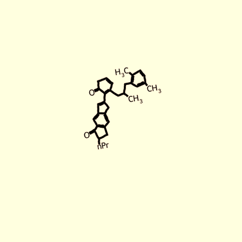 CCCC1Cc2cc3c(cc2C1=O)C=C(C1=C(CC(C)Cc2cc(C)ccc2C)C=CCC1=O)C3